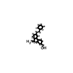 Nc1nc2cc(CO)ccc2c2cc(CCc3ccccc3)cnc12